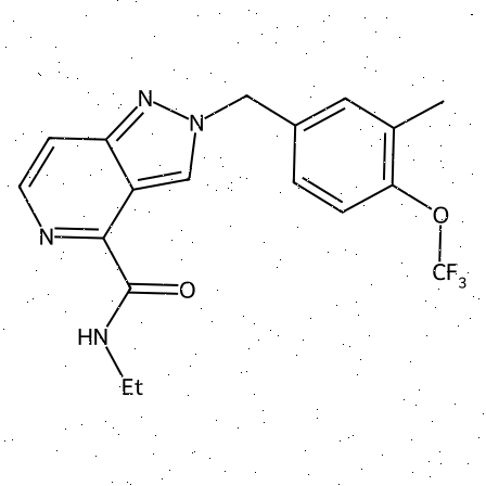 CCNC(=O)c1nccc2nn(Cc3ccc(OC(F)(F)F)c(C)c3)cc12